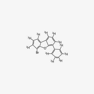 [2H]c1c([2H])c([2H])c(-c2c([2H])c([2H])c([2H])c3c2oc2c(Br)c([2H])c([2H])c([2H])c23)c([2H])c1[2H]